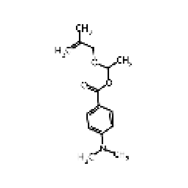 C=C(C)COC(C)OC(=O)c1ccc(N(C)C)cc1